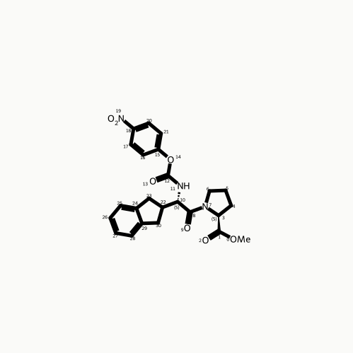 COC(=O)[C@@H]1CCCN1C(=O)[C@@H](NC(=O)Oc1ccc([N+](=O)[O-])cc1)C1Cc2ccccc2C1